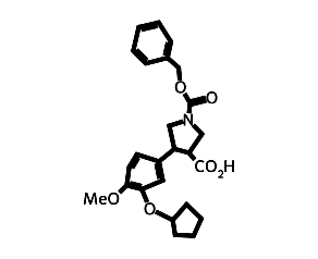 COc1ccc(C2CN(C(=O)OCc3ccccc3)CC2C(=O)O)cc1OC1CCCC1